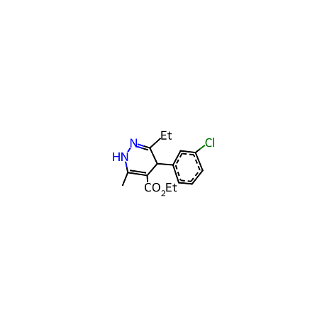 CCOC(=O)C1=C(C)NN=C(CC)C1c1cccc(Cl)c1